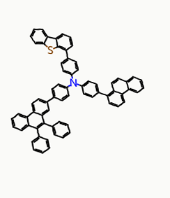 c1ccc(-c2c(-c3ccccc3)c3cc(-c4ccc(N(c5ccc(-c6cccc7c6ccc6ccccc67)cc5)c5ccc(-c6cccc7c6sc6ccccc67)cc5)cc4)ccc3c3ccccc23)cc1